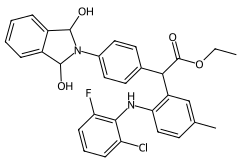 CCOC(=O)C(c1ccc(N2C(O)c3ccccc3C2O)cc1)c1cc(C)ccc1Nc1c(F)cccc1Cl